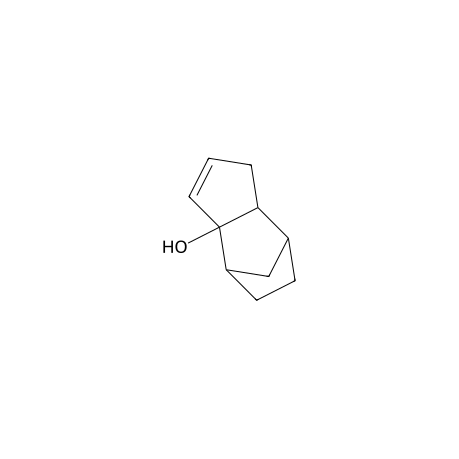 OC12C=CCC1C1CCC2C1